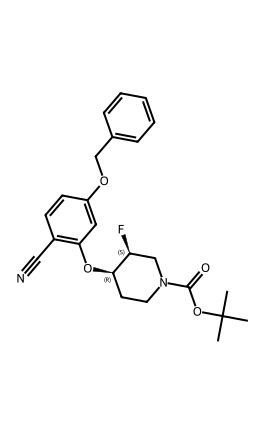 CC(C)(C)OC(=O)N1CC[C@@H](Oc2cc(OCc3ccccc3)ccc2C#N)[C@@H](F)C1